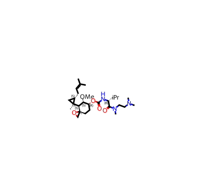 CO[C@@H]1[C@H](OC(=O)N[C@@H](C(=O)N(C)CCN(C)C)C(C)C)CC[C@]2(CO2)[C@H]1[C@@]1(C)C[C@@H]1CC=C(C)C